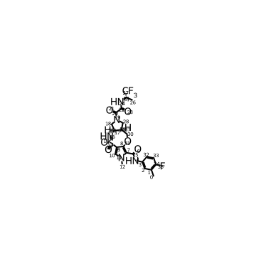 Cc1cc(NC(=O)c2c3c(cn2C)S(=O)(=O)N[C@H]2CN(C(=O)C(=O)N[C@@H](C)C(F)(F)F)C[C@H]2CO3)ccc1F